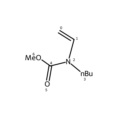 C=CN(CCCC)C(=O)OC